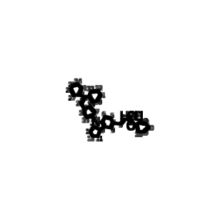 C=C(/C=C/c1ccc2c(c1)C1CCCC1N2c1ccc(C=C(c2ccccc2)c2ccccc2)cc1)Oc1ccccc1C